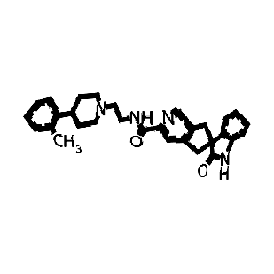 Cc1ccccc1C1CCN(CCNC(=O)c2cc3c(cn2)CC2(C3)C(=O)Nc3ccccc32)CC1